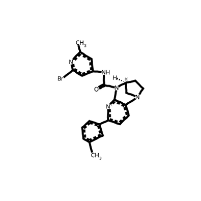 Cc1cccc(-c2ccc3c(n2)N(C(=O)Nc2cc(C)nc(Br)c2)[C@H]2CCN3C2)c1